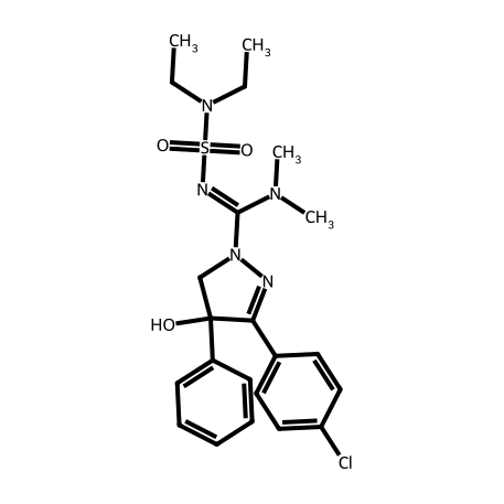 CCN(CC)S(=O)(=O)N=C(N(C)C)N1CC(O)(c2ccccc2)C(c2ccc(Cl)cc2)=N1